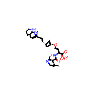 Cc1ccnc(C)c1C(=O)NC(CCO[C@H]1C[C@@H](CCc2ccc3c(n2)NCCC3)C1)C(=O)O